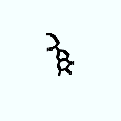 CC=C=CC(O)c1ccc2[nH]c(=O)c(C)cc2c1